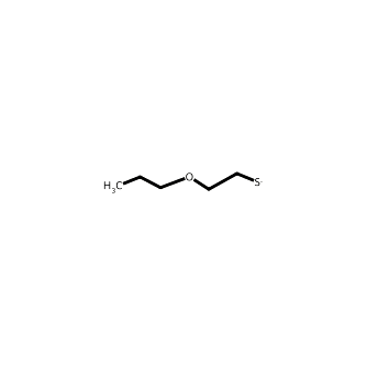 CCCOCC[S]